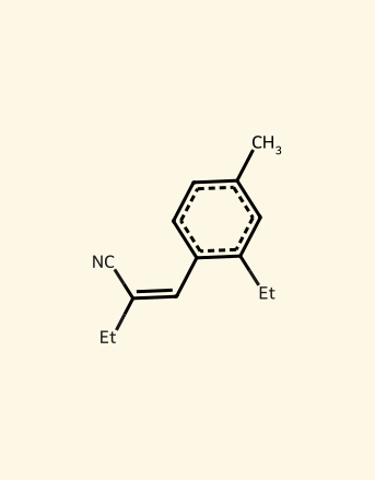 CCC(C#N)=Cc1ccc(C)cc1CC